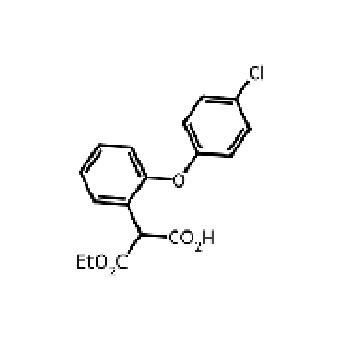 CCOC(=O)C(C(=O)O)c1ccccc1Oc1ccc(Cl)cc1